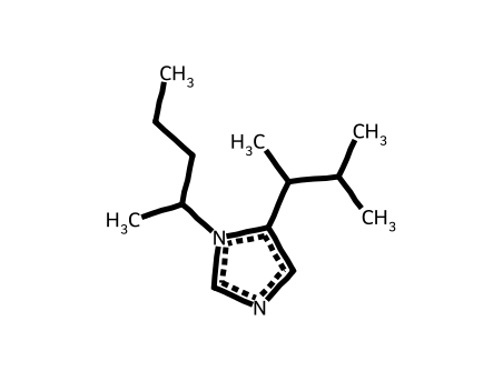 CCCC(C)n1cncc1C(C)C(C)C